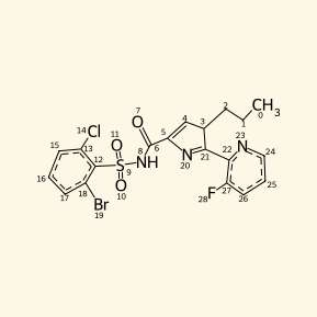 CCCC1C=C(C(=O)NS(=O)(=O)c2c(Cl)cccc2Br)N=C1c1ncccc1F